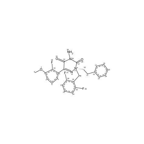 COc1cccc(C2=N[N@+](CCc3ccccc3)(Cc3c(F)cccc3F)C(=O)N(N)C2=O)c1F